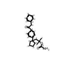 CC(C)(CC1(c2ccc(C(=O)Cc3ccccc3)cc2)CCCC1)OC(N)=O